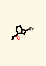 C=CC(=O)C1CCCC2C(C(C)C)CC12